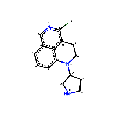 Clc1ncc2cccc3c2c1CCN3C1CCNC1